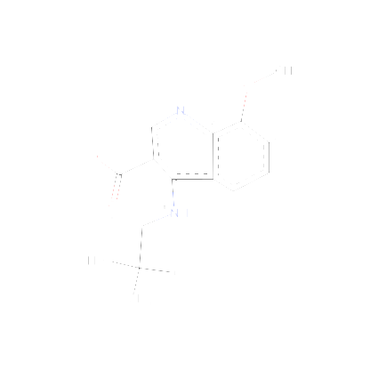 COc1cccc2c(NCC(C)(C)C)c(C(=O)O)cnc12